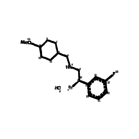 Cl.[2H][C@@H](CNCC1CCC(OC)CC1)c1cccc(F)c1